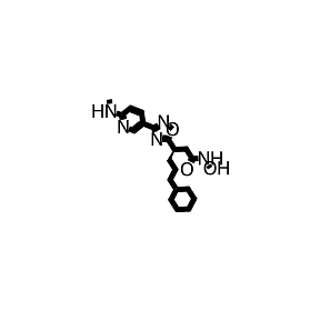 CNc1ccc(-c2noc([C@H](CCCC3CCCCC3)CC(=O)NO)n2)cn1